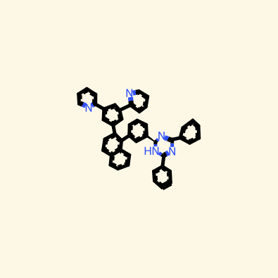 c1ccc(C2=NC(c3ccccc3)=N[C@H](c3cccc(-c4c(-c5cc(-c6ccccn6)cc(-c6ccccn6)c5)ccc5ccccc45)c3)N2)cc#1